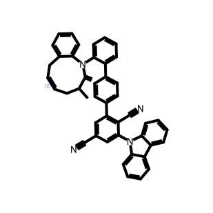 C=C1C(C)C/C=C\Cc2ccccc2N1c1ccccc1-c1ccc(-c2cc(C#N)cc(-n3c4ccccc4c4ccccc43)c2C#N)cc1